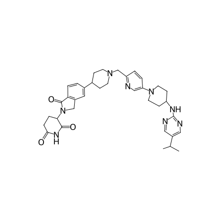 CC(C)c1cnc(NC2CCN(c3ccc(CN4CCC(c5ccc6c(c5)CN(C5CCC(=O)NC5=O)C6=O)CC4)nc3)CC2)nc1